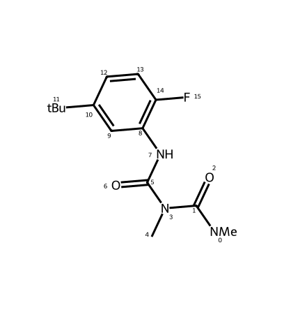 CNC(=O)N(C)C(=O)Nc1cc(C(C)(C)C)ccc1F